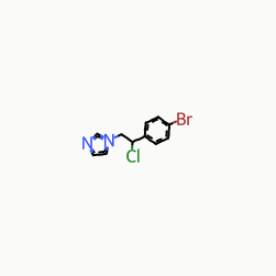 ClC(Cn1ccnc1)c1ccc(Br)cc1